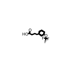 O=C(O)CCCc1cccc(OC(F)(F)F)c1